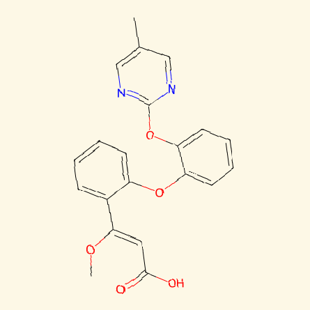 CO/C(=C\C(=O)O)c1ccccc1Oc1ccccc1Oc1ncc(C)cn1